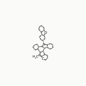 Cn1c2ccccc2c2c3c4ccccc4n(-c4ccc5c(c4)oc4ccccc45)c3c3ccccc3c21